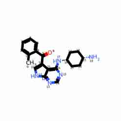 Cc1ccccc1C(=O)c1c[nH]c2ncnc(N[C@H]3CC[C@@H](N)CC3)c12